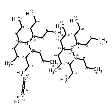 CCCN(CCC)P(N(CCC)CCC)N(CCC)CCC.CCCN(CCC)[PH+](N(CCC)CCC)N(CCC)CCC.Cl.[N-]=[N+]=[N-]